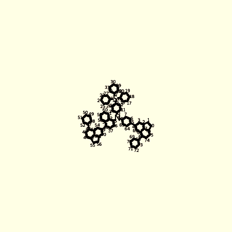 C1=Cc2cc(-c3ccc(N(c4ccc(S(c5ccccc5)(c5ccccc5)c5ccccc5)cc4)c4ccc(-c5cc6c7c(ccc(-c8ccccc8)c7c5)C=C6)c5ccccc45)cc3)cc3c(-c4ccccc4)ccc1c23